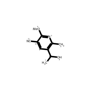 COc1nc(C)c(C(C)O)cc1C#N